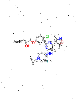 CNC[C@@H](O)COc1ccc(Cl)c(-c2nc(N[C@@H]3CCN(C4CC4)C[C@@H]3F)c(C)c(-c3c(C)noc3C)n2)c1